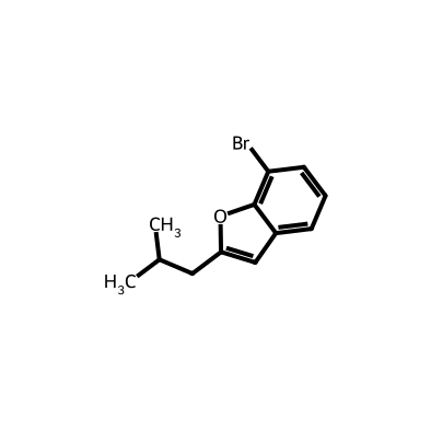 CC(C)Cc1cc2cccc(Br)c2o1